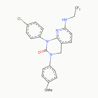 COc1ccc(N2Cc3ccc(NCC(F)(F)F)nc3N(c3ccc(Cl)cc3)C2=O)cc1